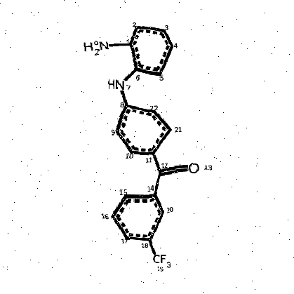 Nc1ccccc1Nc1ccc(C(=O)c2cccc(C(F)(F)F)c2)cc1